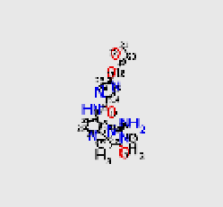 CN1C(=O)CC(C)(c2cc(NC(=O)c3cnc(OCC4CCO4)cn3)ccn2)N=C1N